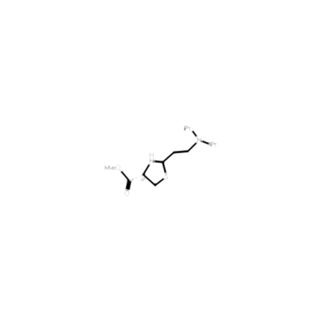 COC(=O)[C@H]1CSC(CCN(C(C)C)C(C)C)N1